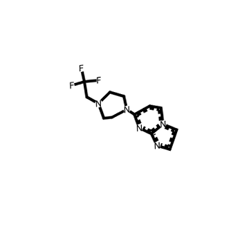 FC(F)(F)CN1CCN(c2ccn3ccnc3n2)CC1